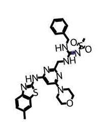 Cc1ccc2nc(Nc3cc(N4CCOCC4)nc(CN/C(=N/S(C)(=O)=O)NCc4ccccc4)n3)sc2c1